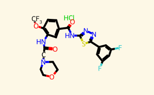 Cl.O=C(CN1CCOCC1)Nc1cc(C(=O)Nc2nnc(-c3cc(F)cc(F)c3)s2)ccc1OC(F)(F)F